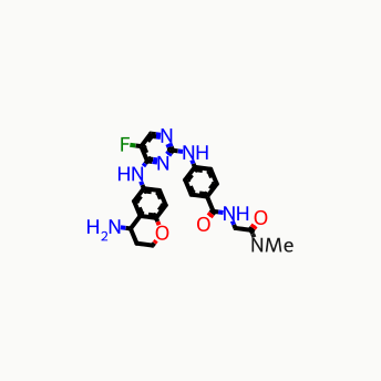 CNC(=O)CNC(=O)c1ccc(Nc2ncc(F)c(Nc3ccc4c(c3)C(N)CCO4)n2)cc1